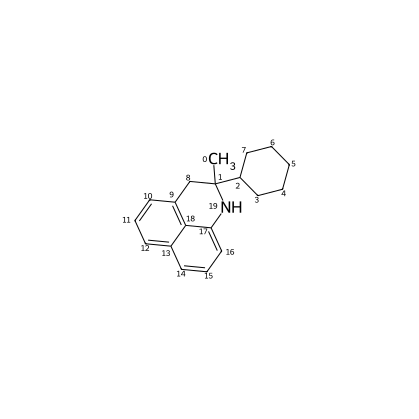 CC1(C2CCCCC2)Cc2cccc3cccc(c23)N1